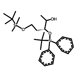 CC(O)[C@@H](CCO[Si](C)(C)C(C)(C)C)O[Si](c1ccccc1)(c1ccccc1)C(C)(C)C